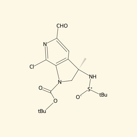 CC(C)(C)OC(=O)N1C[C@](C)(N[S+]([O-])C(C)(C)C)c2cc(C=O)nc(Cl)c21